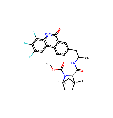 CC(C)(C)OC(=O)N1[C@@H]2CC[C@@H](C2)[C@H]1C(=O)NC(C#N)Cc1ccc2c(c1)c(=O)[nH]c1c(F)c(F)c(F)cc12